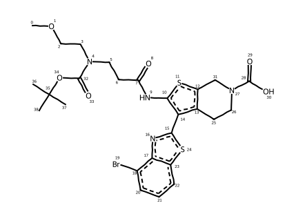 COCCN(CCC(=O)Nc1sc2c(c1-c1nc3c(Br)cccc3s1)CCN(C(=O)O)C2)C(=O)OC(C)(C)C